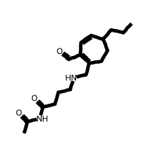 CCCC1C=CC(C=O)=C(CNCCCC(=O)NC(C)=O)CC1